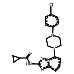 O=C(Nc1nc2cccc(N3CCN(c4ccc(Cl)cc4)CC3)n2n1)C1CC1